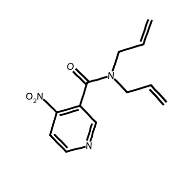 C=CCN(CC=C)C(=O)c1cnccc1[N+](=O)[O-]